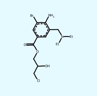 CCN(CC)Cc1cc(C(=O)OCC(O)CCl)cc(Br)c1N